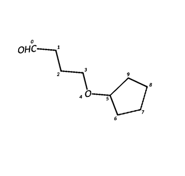 O=CCCCOC1CCCC1